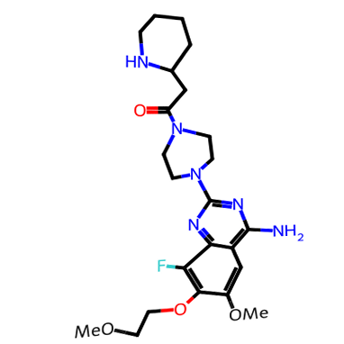 COCCOc1c(OC)cc2c(N)nc(N3CCN(C(=O)CC4CCCCN4)CC3)nc2c1F